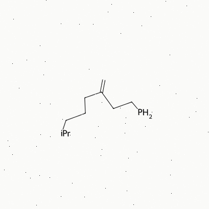 C=C(CCP)CCCC(C)C